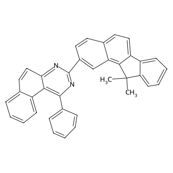 CC1(C)c2ccccc2-c2ccc3ccc(-c4nc(-c5ccccc5)c5c(ccc6ccccc65)n4)cc3c21